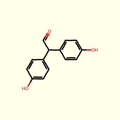 O=[C]C(c1ccc(O)cc1)c1ccc(O)cc1